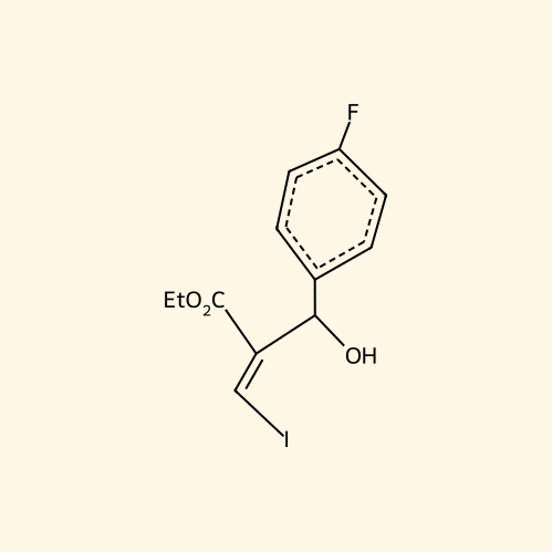 CCOC(=O)/C(=C/I)C(O)c1ccc(F)cc1